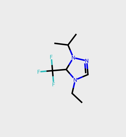 CCN1C=NN(C(C)C)C1C(F)(F)F